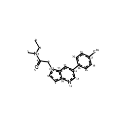 CCN(C)C(=O)Cn1ccc2ncc(-c3ccc(F)cc3)cc21